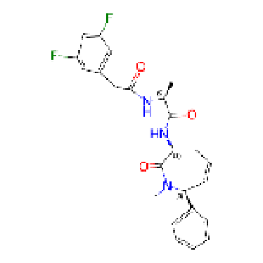 C[C@H](NC(=O)Cc1cc(F)cc(F)c1)C(=O)N[C@H]1CC=C[C@@H](c2ccccc2)N(C)C1=O